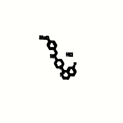 COc1ccc(CNC2CCN(c3nccc4ccc(F)cc34)CC2)cc1.Cl